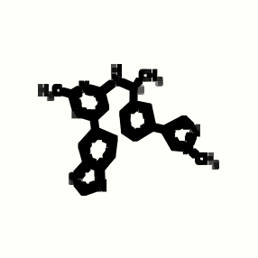 Cc1nc(N[C@@H](C)c2cccc(-c3cnn(C)c3)c2)cc(-c2ccc3ncsc3c2)n1